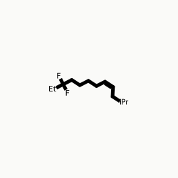 CCC(F)(F)CCCC/C=C\CC(C)C